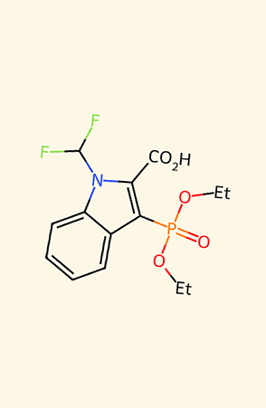 CCOP(=O)(OCC)c1c(C(=O)O)n(C(F)F)c2ccccc12